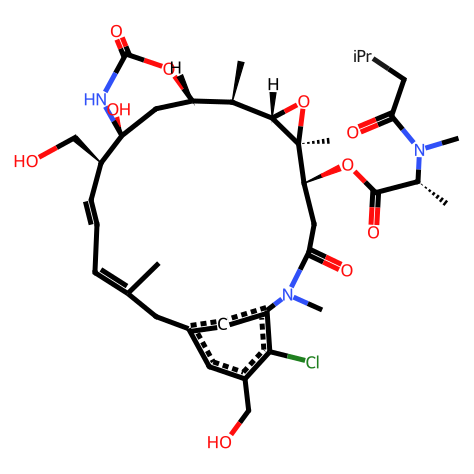 C/C1=C\C=C\[C@@H](CO)[C@@]2(O)C[C@H](OC(=O)N2)[C@@H](C)[C@@H]2O[C@@]2(C)[C@@H](OC(=O)[C@@H](C)N(C)C(=O)CC(C)C)CC(=O)N(C)c2cc(cc(CO)c2Cl)C1